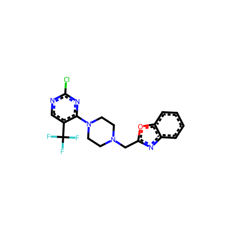 FC(F)(F)c1cnc(Cl)nc1N1CCN(Cc2nc3ccccc3o2)CC1